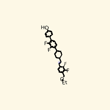 CCOCc1ccc(/C=C/C2CCC(c3ccc(-c4ccc(O)cc4)c(F)c3F)CC2)c(F)c1F